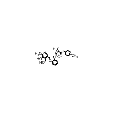 Cc1ncc(COc2ccccc2O[P+]([O-])=N[C@@H](C)C(=O)OC2CCN(C)CC2)c(CO)c1O